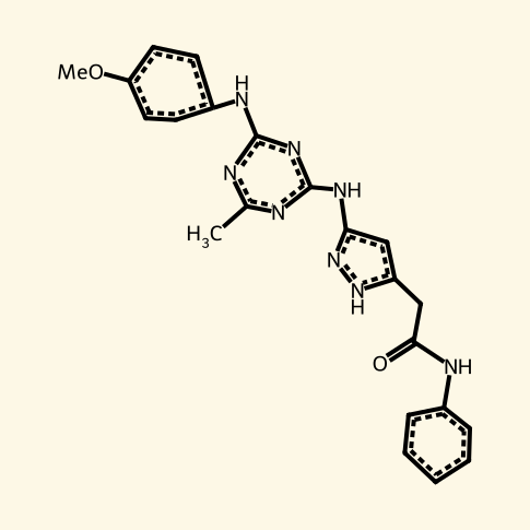 COc1ccc(Nc2nc(C)nc(Nc3cc(CC(=O)Nc4ccccc4)[nH]n3)n2)cc1